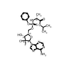 CC(C)OC(=O)[C@@H](C)N[P@@](=S)(OC[C@H]1O[C@@H](n2cnc3c(N)ncnc32)[C@](F)(Cl)[C@@H]1O)Oc1ccccc1